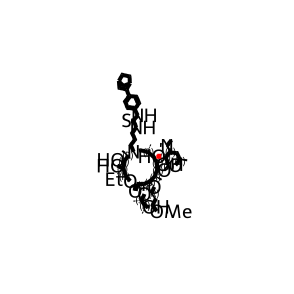 CC[C@H]1OC(=O)[C@H](C)[C@@H](O[C@@H](CCOC)O[C@@H](C)[C@@H](C)O)[C@H](C)[C@@H](O[C@@H]2O[C@H](C)C[C@H](N(C)C)[C@H]2O)[C@](C)(O)C[C@@H](C)CN(CCCNC(=S)Nc2ccc(C3CC4CCC3C4)cc2)[C@H](C)[C@@H](O)[C@]1(C)O